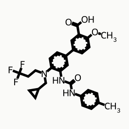 COc1ccc(-c2ccc(N(CCC(F)(F)F)CC3CC3)c(NC(=O)Nc3ccc(C)cc3)c2)cc1C(=O)O